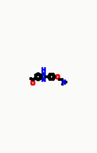 CC(=O)c1ccc2[nH]c(-c3ccc(OCCN(C)C)cc3)nc2c1